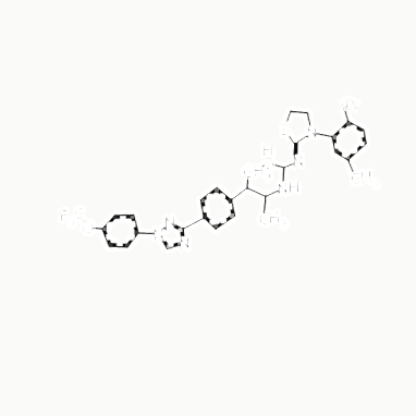 Cc1ccc(C(C)C)c(N2CCS/C2=N\C(O)NC(C)C(C)c2ccc(-c3ncn(-c4ccc(OC(F)(F)F)cc4)n3)cc2)c1